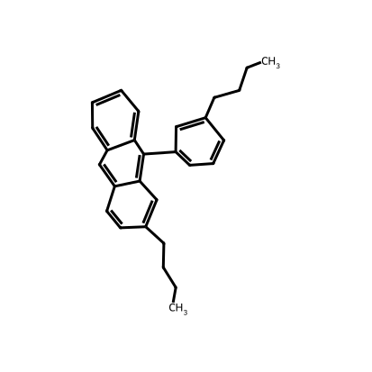 CCCCc1cccc(-c2c3ccccc3cc3ccc(CCCC)cc23)c1